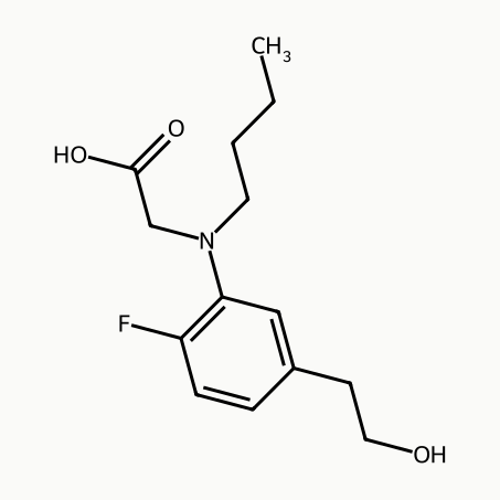 CCCCN(CC(=O)O)c1cc(CCO)ccc1F